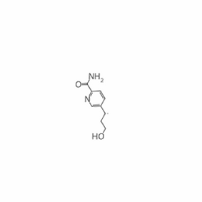 NC(=O)c1ccc([CH]CCO)cn1